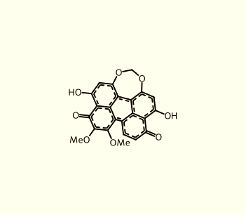 COc1c(OC)c2c3ccc(=O)c4c(O)cc5c(c6c(cc(O)c(c1=O)c26)OCO5)c43